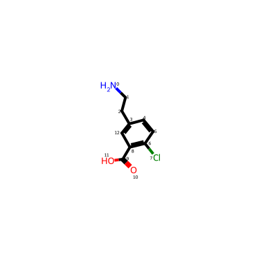 NCCc1ccc(Cl)c(C(=O)O)c1